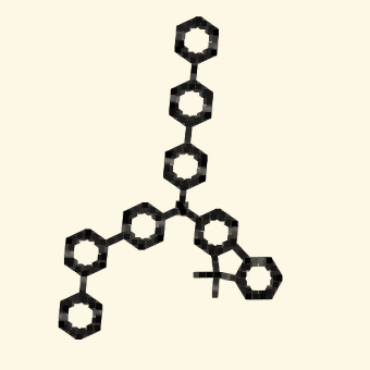 CC1(C)c2ccccc2-c2ccc(N(c3ccc(-c4ccc(-c5ccccc5)cc4)cc3)c3ccc(-c4cccc(-c5ccccc5)c4)cc3)cc21